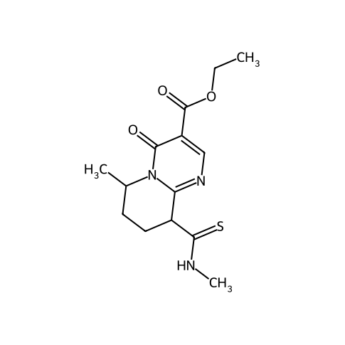 CCOC(=O)c1cnc2n(c1=O)C(C)CCC2C(=S)NC